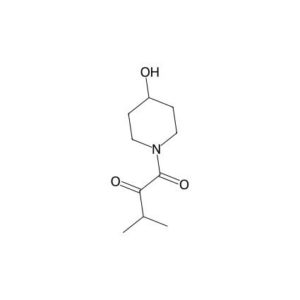 CC(C)C(=O)C(=O)N1CCC(O)CC1